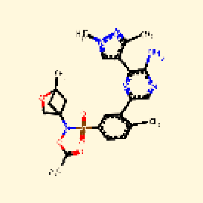 Cc1ccc(S(=O)(=O)N(OC(=O)C(F)(F)F)C23COC(C)(C2)C3)cc1-c1cnc(N)c(-c2cn(C)nc2C)n1